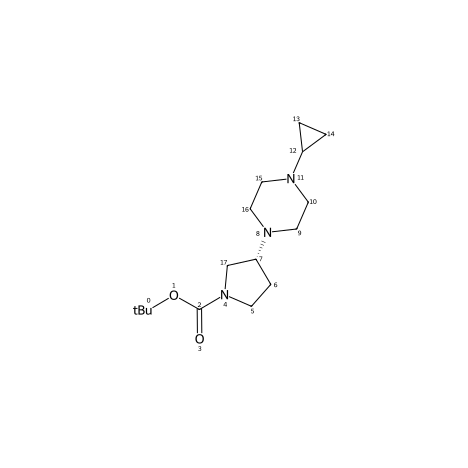 CC(C)(C)OC(=O)N1CC[C@@H](N2CCN(C3CC3)CC2)C1